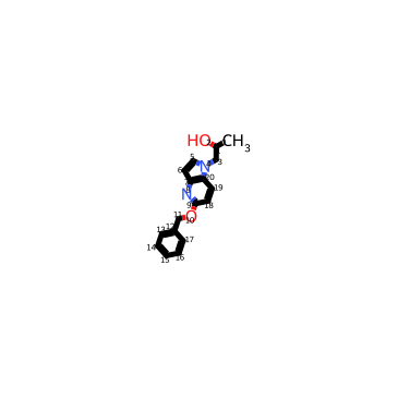 CC(O)Cn1ccc2nc(OCc3ccccc3)ccc21